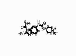 CN(C)C(=O)n1c(C(C)(C)C)nc2ccc(NC(=O)SN3CC[N+](C)([O-])CC3)cc21